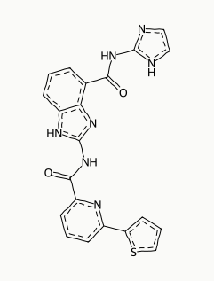 O=C(Nc1nc2c(C(=O)Nc3ncc[nH]3)cccc2[nH]1)c1cccc(-c2cccs2)n1